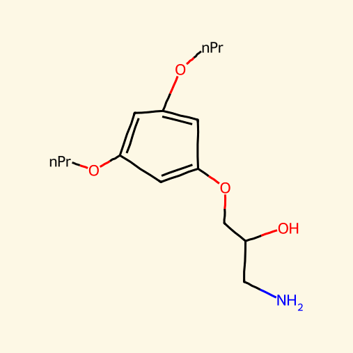 CCCOc1cc(OCCC)cc(OCC(O)CN)c1